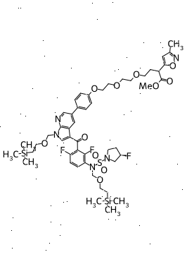 COC(=O)C(CCOCCOCCOc1ccc(-c2cnc3c(c2)c(C(=O)c2c(F)ccc(N(COCC[Si](C)(C)C)S(=O)(=O)N4CC[C@@H](F)C4)c2F)cn3COCC[Si](C)(C)C)cc1)c1cc(C)no1